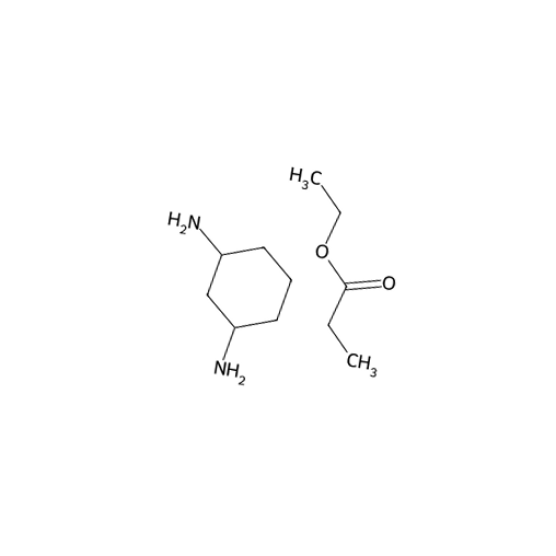 CCOC(=O)CC.NC1CCCC(N)C1